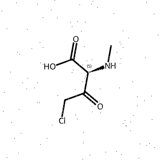 CN[C@H](C(=O)O)C(=O)CCl